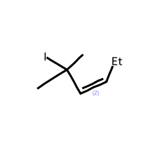 CC/C=C\C(C)(C)I